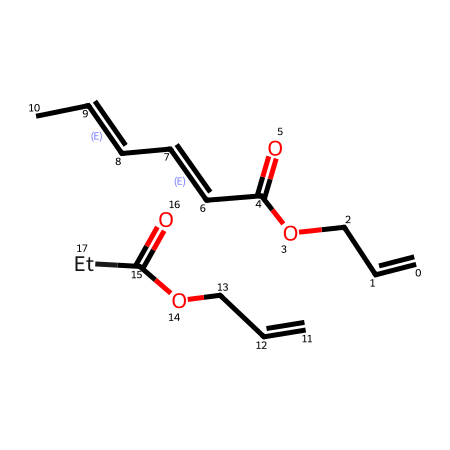 C=CCOC(=O)/C=C/C=C/C.C=CCOC(=O)CC